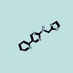 c1ccc(-c2cnc(NCc3ncco3)nc2)nc1